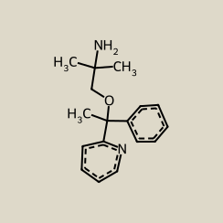 CC(C)(N)COC(C)(c1ccccc1)c1ccccn1